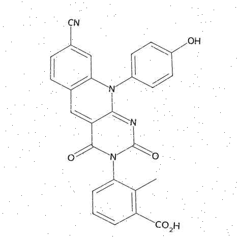 Cc1c(C(=O)O)cccc1-n1c(=O)nc2n(-c3ccc(O)cc3)c3cc(C#N)ccc3cc-2c1=O